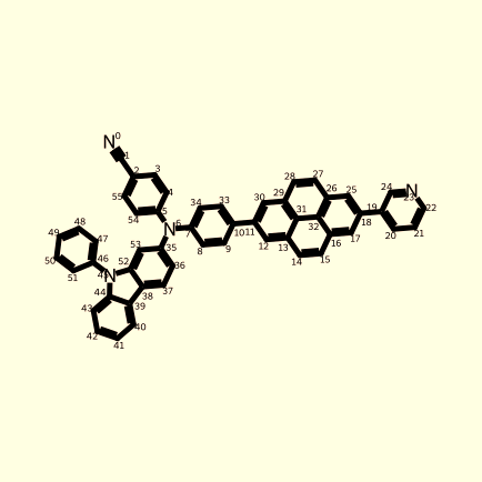 N#Cc1ccc(N(c2ccc(-c3cc4ccc5cc(-c6cccnc6)cc6ccc(c3)c4c56)cc2)c2ccc3c4ccccc4n(-c4ccccc4)c3c2)cc1